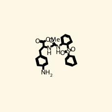 COC(=O)C(Cc1ccc(N)cc1)NC(=O)Nc1ccccc1S(=O)(=O)c1ccccc1